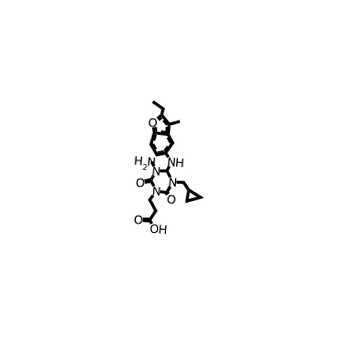 CCc1oc2ccc(NC3N(N)C(=O)N(CCC(=O)O)C(=O)N3CC3CC3)cc2c1C